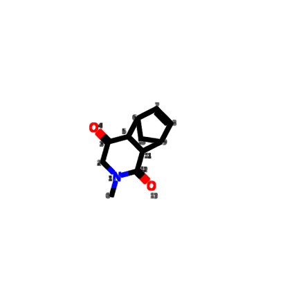 CN1CC(=O)C2C3C=CC(C3)C2C1=O